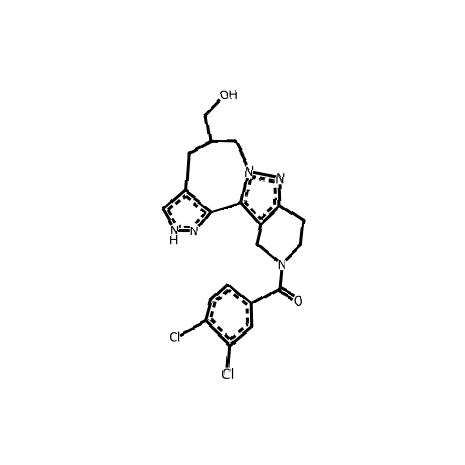 O=C(c1ccc(Cl)c(Cl)c1)N1CCc2nn3c(c2C1)-c1n[nH]cc1CC(CO)C3